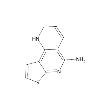 Nc1nc2sccc2c2c1C=CCN2